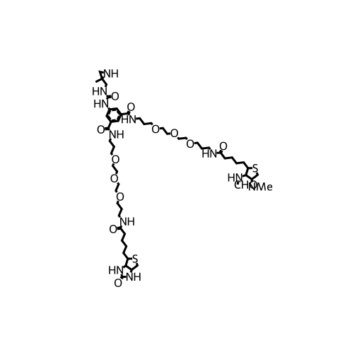 CNC1CSC(CCCCC(=O)NCCCOCCOCCOCCCNC(=O)c2cc(NC(=O)NCC3(C)CN3)cc(C(=O)NCCCOCCOCCOCCCNC(=O)CCCCC3SCC4NC(=O)NC43)c2)C1NC=O